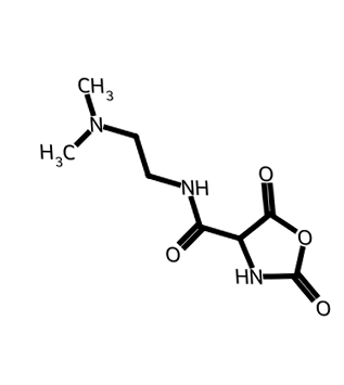 CN(C)CCNC(=O)C1NC(=O)OC1=O